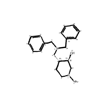 CCCCN1CC[C@H](CN(Cc2ccccc2)Cc2ccccc2)[C@@H](O)C1